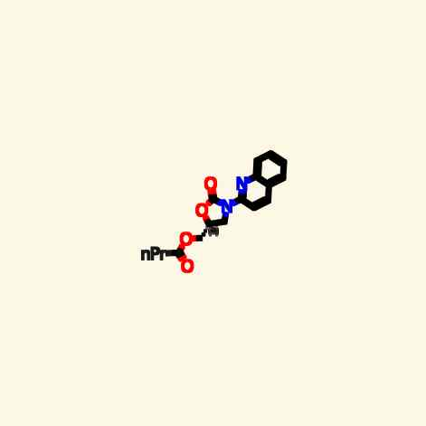 CCCC(=O)OC[C@H]1CN(c2ccc3ccccc3n2)C(=O)O1